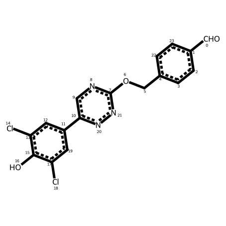 O=Cc1ccc(COc2ncc(-c3cc(Cl)c(O)c(Cl)c3)nn2)cc1